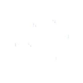 Cc1c(I)c2c(Cl)ncnc2n1C(C)C